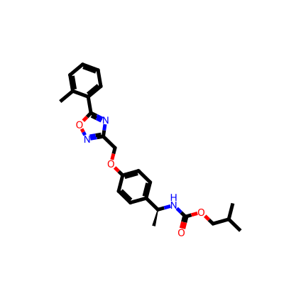 Cc1ccccc1-c1nc(COc2ccc([C@H](C)NC(=O)OCC(C)C)cc2)no1